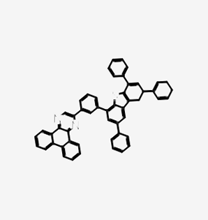 C1=CC(C2C=C(c3ccccc3)c3sc4c(-c5cccc(-c6cnc7c8ccccc8c8ccccc8c7n6)c5)cc(-c5ccccc5)cc4c3C2)=CCC1